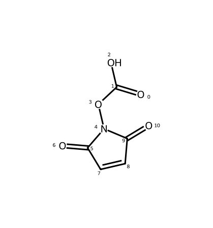 O=C(O)ON1C(=O)C=CC1=O